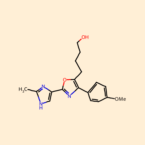 COc1ccc(-c2nc(-c3c[nH]c(C)n3)oc2CCCCO)cc1